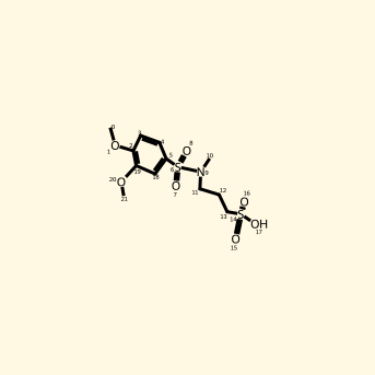 COc1ccc(S(=O)(=O)N(C)CCCS(=O)(=O)O)cc1OC